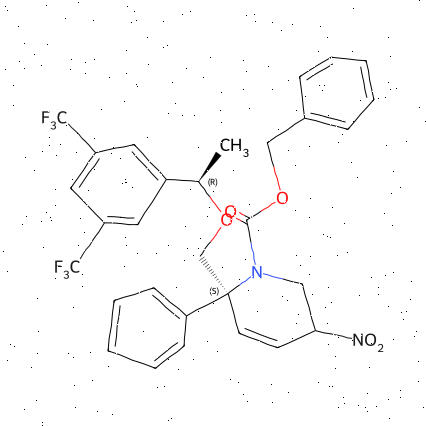 C[C@@H](OC[C@@]1(c2ccccc2)C=CC([N+](=O)[O-])CN1C(=O)OCc1ccccc1)c1cc(C(F)(F)F)cc(C(F)(F)F)c1